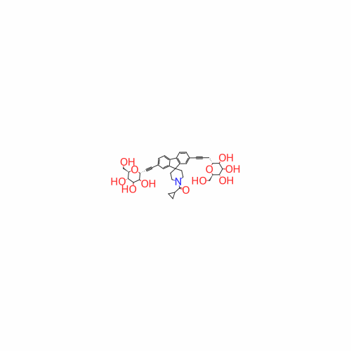 O=C(C1CC1)N1CCC2(CC1)c1cc(C#CC[C@H]3O[C@H](CO)[C@@H](O)[C@H](O)[C@@H]3O)ccc1-c1ccc(C#C[C@H]3O[C@H](CO)[C@@H](O)[C@H](O)[C@@H]3O)cc12